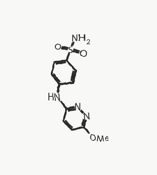 COc1ccc(Nc2ccc(S(N)(=O)=O)cc2)nn1